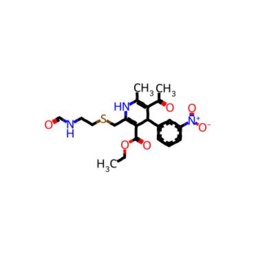 CCOC(=O)C1=C(CSCCNC=O)NC(C)=C(C(C)=O)C1c1cccc([N+](=O)[O-])c1